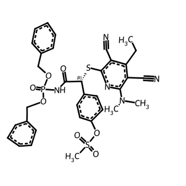 CCc1c(C#N)c(S[C@@H](C(=O)NP(=O)(OCc2ccccc2)OCc2ccccc2)c2ccc(OS(C)(=O)=O)cc2)nc(N(C)C)c1C#N